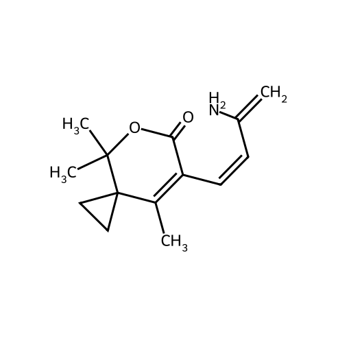 C=C(N)/C=C\C1=C(C)C2(CC2)C(C)(C)OC1=O